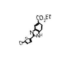 CCOC(=O)c1ccc2[nH]c(-c3ccc(Cl)s3)nc2c1